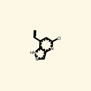 C=Cc1cc(Cl)nc2cn[nH]c12